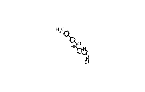 Cc1ccc(-c2ccc(C(=O)Nc3ccc4cc(CN5CCCC5)cnc4c3)cc2)cc1